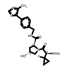 CC(=O)N[C@H](C(=O)N1C[C@H](O)C[C@H]1C(=O)NCc1ccc(-c2scnc2C)cc1)C1(F)CC1